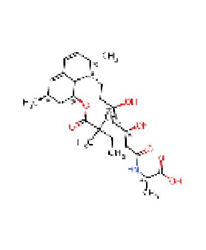 CCC(C)(C)C(=O)O[C@H]1C[C@@H](C)C=C2C=C[C@H](C)[C@H](CC[C@@H](O)C[C@@H](O)CC(=O)N[C@H](C)C(=O)O)C21